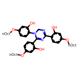 CCCCCCCCOc1ccc(C2=NCN(c3ccc(OCCCCCCCC)cc3O)C(c3ccc(OCCCCCCCC)cc3O)=N2)c(O)c1